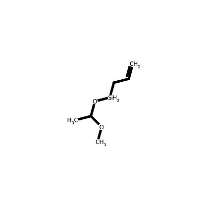 C=CC[SiH2]OC(C)OC